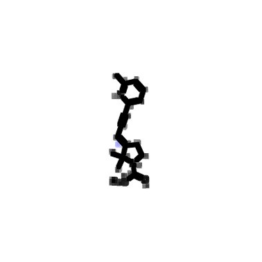 Cc1cccc(C#C/C=C2\CCN(C(=O)OCC(C)C)C2(C)C)n1